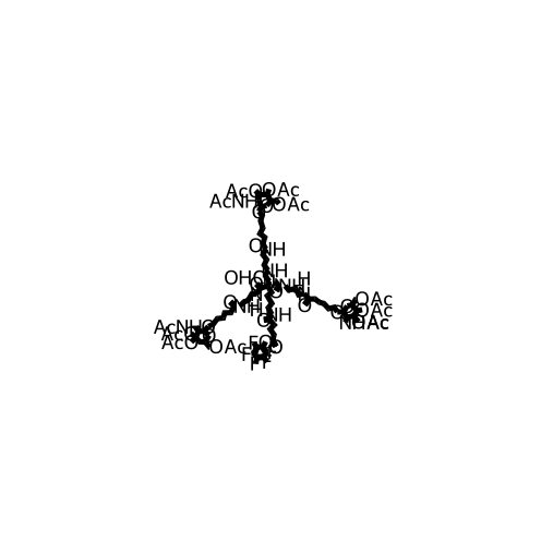 CC(=O)NC1C(OCCCCCC(=O)NCCCNC(=O)CN(C(C=O)NCCCNC(=O)CCCCCOC2OC(COC(C)=O)C(OC(C)=O)C(OC(C)=O)C2NC(C)=O)C(CCCCNC(=O)CCCC(=O)Oc2c(F)c(F)c(F)c(F)c2F)C(=O)NCCCNC(=O)CCCCCOC2OC(COC(C)=O)CC(OC(C)=O)(OC(C)=O)C2NC(C)=O)OC(COC(C)=O)C(OC(C)=O)C1OC(C)=O